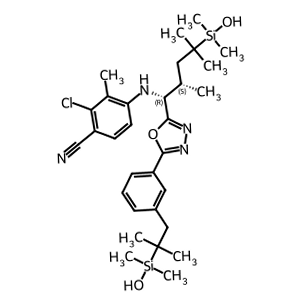 Cc1c(N[C@@H](c2nnc(-c3cccc(CC(C)(C)[Si](C)(C)O)c3)o2)[C@@H](C)CC(C)(C)[Si](C)(C)O)ccc(C#N)c1Cl